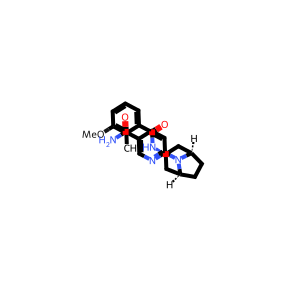 COc1cccc(C(=O)N[C@H]2C[C@H]3CC[C@@H](C2)N3c2ccc(C(N)=O)cn2)c1C